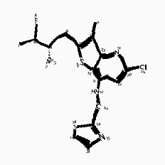 Cc1c(C[C@H](N)[C@@H](C)F)sc2c(NCc3nccs3)cc(Cl)nc12